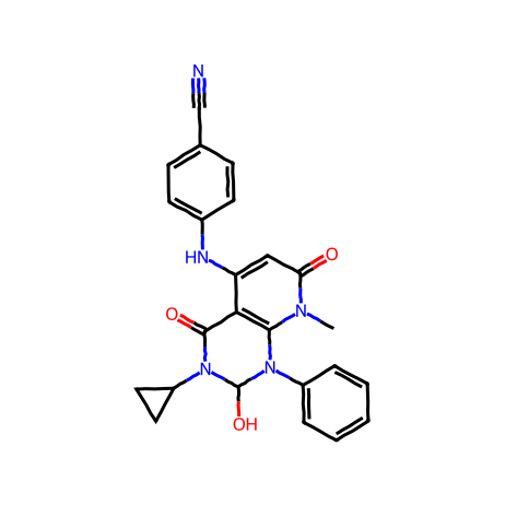 Cn1c2c(c(Nc3ccc(C#N)cc3)cc1=O)C(=O)N(C1CC1)C(O)N2c1ccccc1